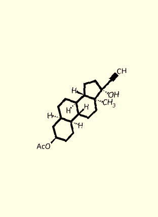 C#C[C@]1(O)CC[C@H]2[C@@H]3CC[C@@H]4C[C@H](OC(C)=O)CC[C@@H]4[C@H]3CC[C@@]21C